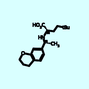 C[C@@H](N[C@@H](CCC(C)(C)C)C(=O)O)c1ccc2c(c1)OCCC2